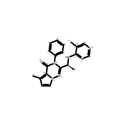 Cc1ccn2nc([C@H](C)Nc3ncncc3I)n(-c3ccccc3)c(=O)c12